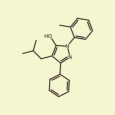 Cc1ccccc1-n1nc(-c2ccccc2)c(CC(C)C)c1O